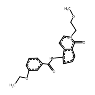 CCOc1cccc(C(=O)Nc2cccc3c(=O)n(CCOC)ccc23)c1